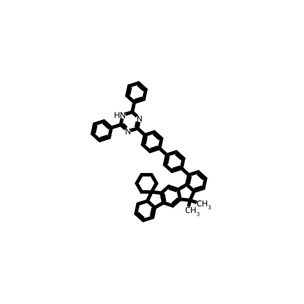 CC1(C)c2cc3c(cc2-c2c(-c4ccc(-c5ccc(C6=NC(c7ccccc7)NC(c7ccccc7)=N6)cc5)cc4)cccc21)C1(CCCCC1)C1CC=CC=C31